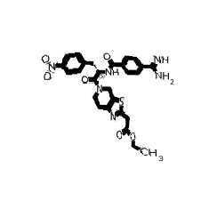 CCOC(=O)Cc1nc2c(s1)CN(C(=O)[C@H](Cc1ccc([N+](=O)[O-])cc1)NC(=O)c1ccc(C(=N)N)cc1)CC2